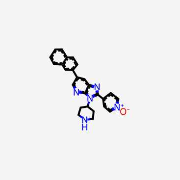 [O-][n+]1ccc(-c2nc3cc(-c4ccc5ccccc5c4)cnc3n2C2CCNCC2)cc1